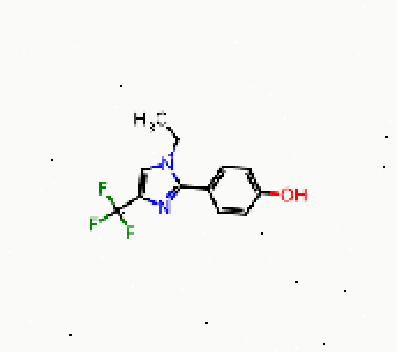 CCn1cc(C(F)(F)F)nc1-c1ccc(O)cc1